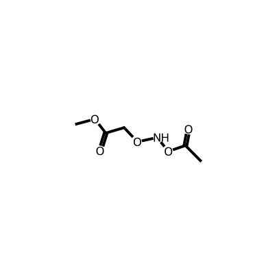 COC(=O)CONOC(C)=O